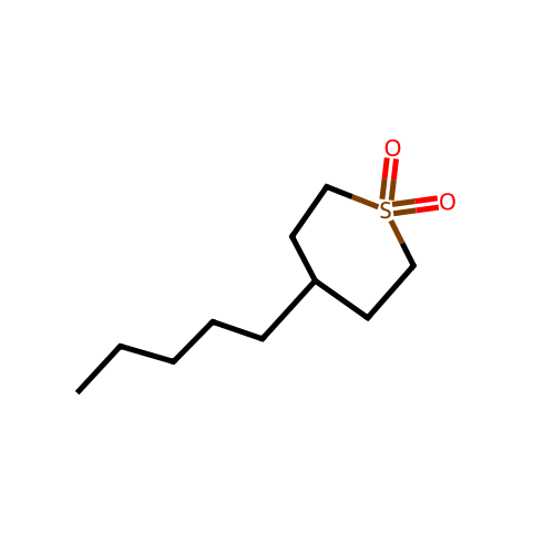 CCCCCC1CCS(=O)(=O)CC1